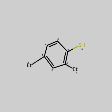 CCc1ccc(S)c(CC)c1